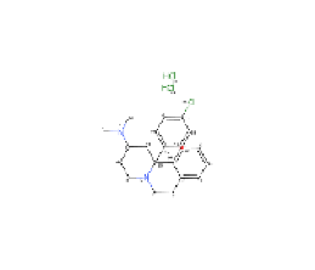 CN(C)C1CCN2CCc3ccccc3C2(c2ccc(Cl)cc2)C1.Cl.Cl